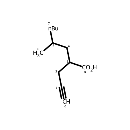 C#CCC(CC(C)CCCC)C(=O)O